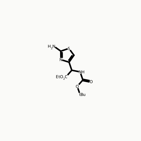 CCOC(=O)C(NC(=O)OC(C)(C)C)c1csc(N)n1